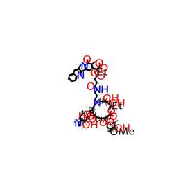 CC[C@H]1OC(=O)[C@H](C)[C@@H](OC2C[C@@](C)(OC)[C@@H](O)[C@H](C)O2)[C@H](C)C(O[C@@H]2O[C@H](C)C[C@H](N(C)C)[C@H]2O)[C@]2(O)C[C@@]2(C)CN(CCCNC(=O)CCC(=O)O[C@]2(CC)C(=O)OCc3c2cc2n(c3=O)Cc3cc4ccccc4nc3-2)[C@H](C)[C@@H](O)[C@]1(C)O